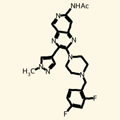 CC(=O)Nc1cc2nc(N3CCN(Cc4ccc(F)cc4F)CC3)c(-c3cnn(C)c3)nc2cn1